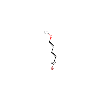 CCOC=CC=[CH][Mg][Br]